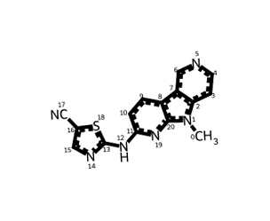 Cn1c2ccncc2c2ccc(Nc3ncc(C#N)s3)nc21